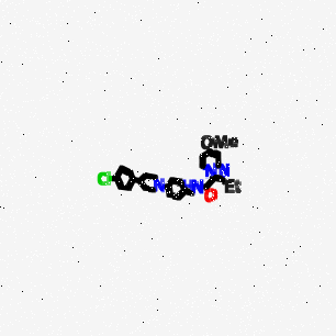 CCc1nc2cc(OC)ccn2c1C(=O)NCc1ccc(N2CCC(c3ccc(Cl)cc3)CC2)cc1